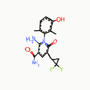 Cc1ccc(O)c(C)c1-n1c(N)c(C(N)=O)cc(C2CC2(F)F)c1=O